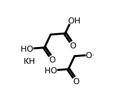 O=C(O)CC(=O)O.[KH].[O]CC(=O)O